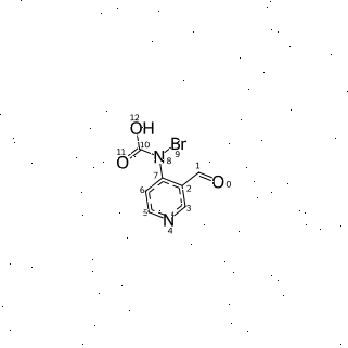 O=Cc1cnccc1N(Br)C(=O)O